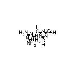 Nc1nc(N)nc(N)n1.Oc1nc(O)nc(OS)n1